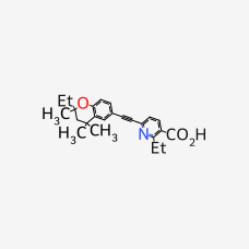 CCc1nc(C#Cc2ccc3c(c2)C(C)(C)CC(C)(CC)O3)ccc1C(=O)O